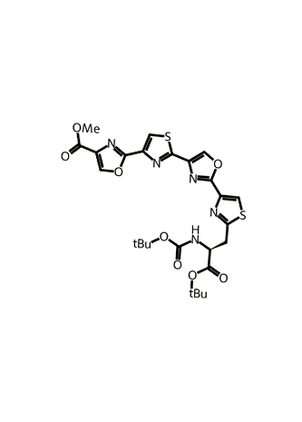 COC(=O)c1coc(-c2csc(-c3coc(-c4csc(C[C@H](NC(=O)OC(C)(C)C)C(=O)OC(C)(C)C)n4)n3)n2)n1